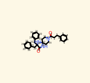 O=C(CCc1ccccc1)N1CCC2(CC1)NC(=O)C(Cc1ccccc1)(Cc1ccccc1)N2